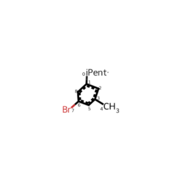 CCC[C](C)c1cc(C)cc(Br)c1